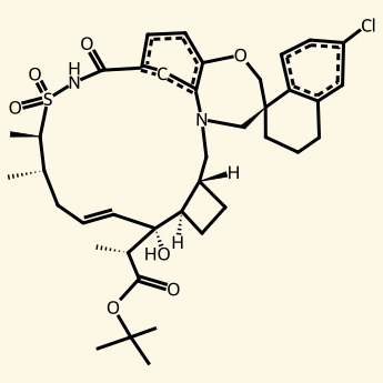 C[C@@H]1[C@@H](C)C/C=C/[C@](O)([C@@H](C)C(=O)OC(C)(C)C)[C@@H]2CC[C@H]2CN2C[C@@]3(CCCc4cc(Cl)ccc43)COc3ccc(cc32)C(=O)NS1(=O)=O